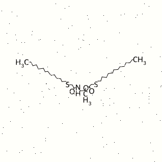 CCCCCCCCCCCCCCSCC(=O)NCC(C)OC(=O)CSCCCCCCCCCCCCCC